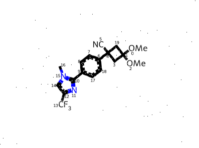 COC1(OC)CC(C#N)(c2ccc(-c3nc(C(F)(F)F)cn3C)cc2)C1